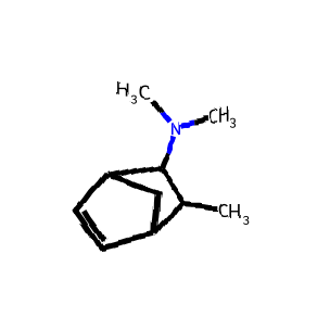 CC1C2C=CC(C2)C1N(C)C